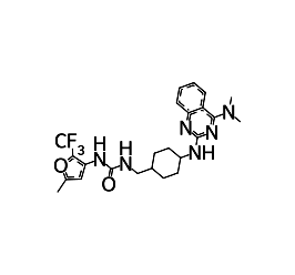 Cc1cc(NC(=O)NCC2CCC(Nc3nc(N(C)C)c4ccccc4n3)CC2)c(C(F)(F)F)o1